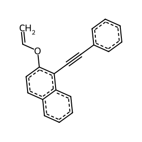 C=COc1ccc2ccccc2c1C#Cc1ccccc1